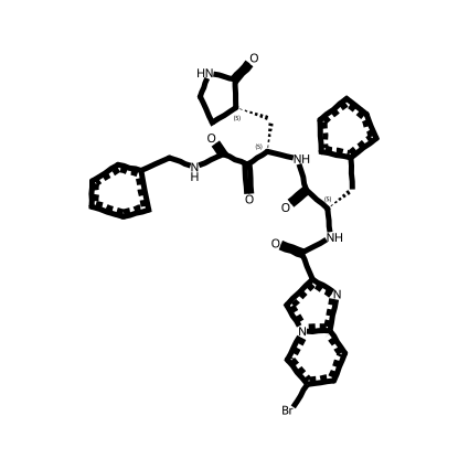 O=C(NCc1ccccc1)C(=O)[C@H](C[C@@H]1CCNC1=O)NC(=O)[C@H](Cc1ccccc1)NC(=O)c1cn2cc(Br)ccc2n1